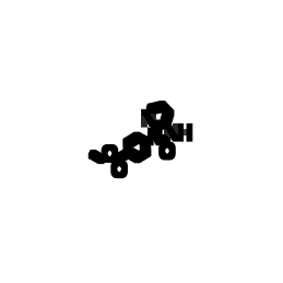 CCOC(=O)c1ccc(-n2c(=O)[nH]c3cccnc32)cc1